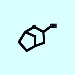 OC1CC2CCC(C2)O1